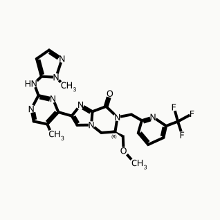 COC[C@H]1Cn2cc(-c3nc(Nc4ccnn4C)ncc3C)nc2C(=O)N1Cc1cccc(C(F)(F)F)n1